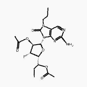 CCCn1c(=O)n([C@@H]2O[C@H](C(CC)OC(C)=O)[C@H](F)[C@H]2OC(C)=O)c2nc(N)ncc21